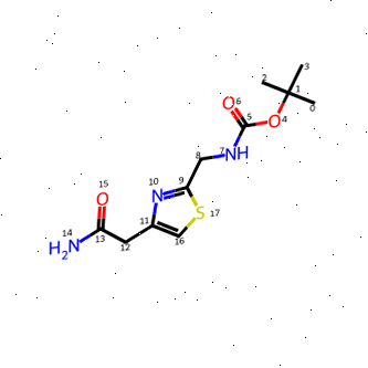 CC(C)(C)OC(=O)NCc1nc(CC(N)=O)cs1